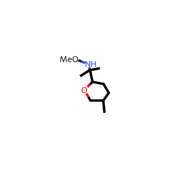 CONC(C)(C)C1CCC(C)CO1